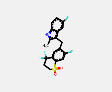 Cc1[nH]c2ccc(F)cc2c1Cc1cc2c(cc1F)S(=O)(=O)CCC2(F)F